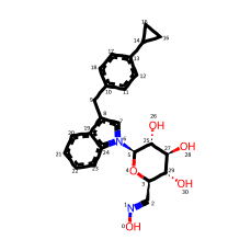 ON=C[C@H]1O[C@@H](n2cc(Cc3ccc(C4CC4)cc3)c3ccccc32)[C@H](O)[C@@H](O)[C@@H]1O